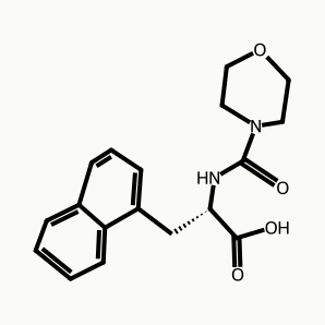 O=C(O)[C@H](Cc1cccc2ccccc12)NC(=O)N1CCOCC1